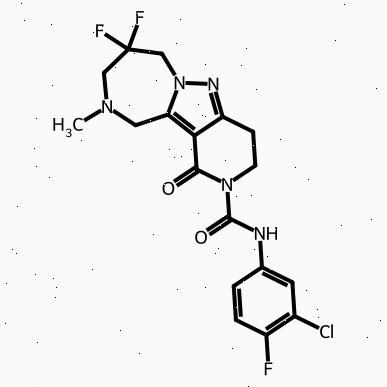 CN1Cc2c3c(nn2CC(F)(F)C1)CCN(C(=O)Nc1ccc(F)c(Cl)c1)C3=O